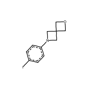 Ic1ccc(N2CC3(COC3)C2)cc1